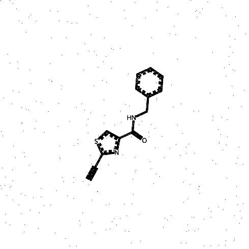 C#Cc1nc(C(=O)NCc2ccccc2)cs1